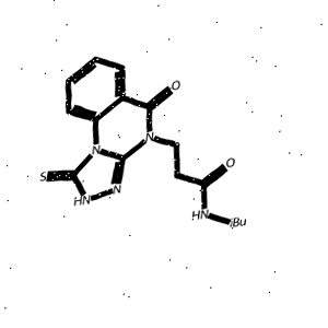 CCC(C)NC(=O)CCn1c(=O)c2ccccc2n2c(=S)[nH]nc12